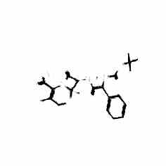 CC(C)(C)OC(=O)NC(C(=O)N[C@@H]1C(=O)N2C(C(=O)O)=C(Cl)CS[C@@H]12)C1=CCC=CC1